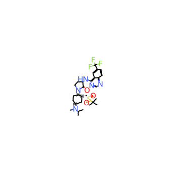 CC(C)N(C)[C@@H]1CC[C@H](N2CCC(Nc3ncnc4ccc(C(F)(F)F)cc34)C2=O)[C@H](CS(=O)(=O)C(C)(C)C)C1